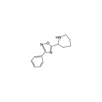 c1ccc(-c2noc(C3CCCCN3)n2)cc1